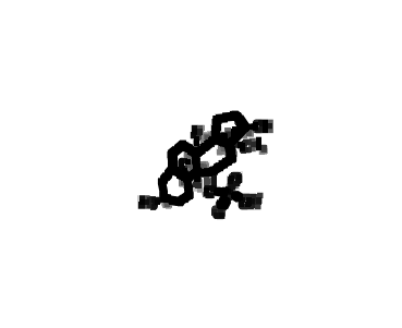 C[C@]12CC[C@H]3[C@@H](CC=C4C[C@@H](O)CC[C@@]43C)[C@@H]1CC[C@@H]2O.O=S(=O)(O)O